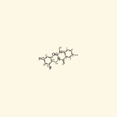 C=C1c2cc(C)ccc2N(C)C(=O)N1Cc1ccc(F)cc1F